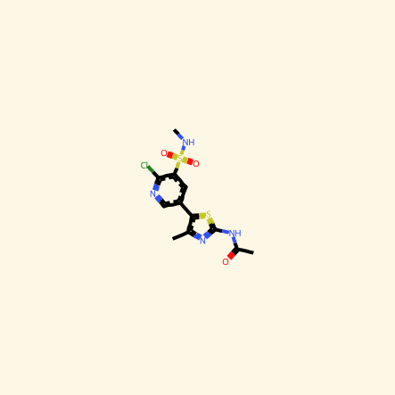 CNS(=O)(=O)c1cc(-c2sc(NC(C)=O)nc2C)cnc1Cl